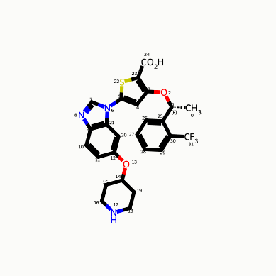 C[C@@H](Oc1cc(-n2cnc3ccc(OC4CCNCC4)cc32)sc1C(=O)O)c1ccccc1C(F)(F)F